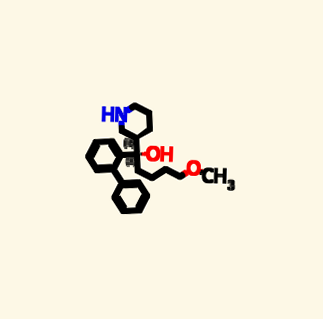 COCCCC[C@@](O)(c1ccccc1-c1ccccc1)[C@@H]1CCCNC1